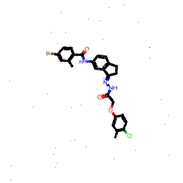 Cc1cc(OCC(=O)N/N=C2\CCc3ccc(NC(=O)c4ccc(Br)cc4C)cc32)ccc1Cl